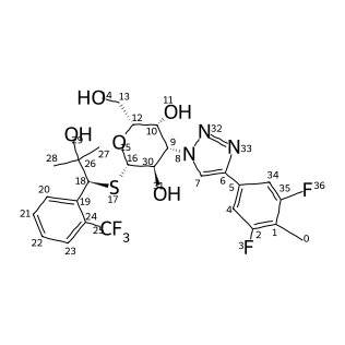 Cc1c(F)cc(-c2cn([C@H]3[C@@H](O)[C@@H](CO)O[C@@H](S[C@@H](c4ccccc4C(F)(F)F)C(C)(C)O)[C@@H]3O)nn2)cc1F